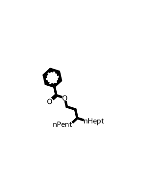 CCCCCCCC(CCCCC)CCOC(=O)c1ccccc1